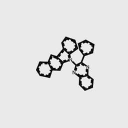 c1ccc(-c2nc3ccccc3nc2-n2c3ccccc3c3cc4ccccc4cc32)cc1